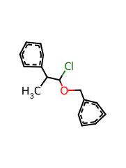 CC(c1ccccc1)C(Cl)OCc1ccccc1